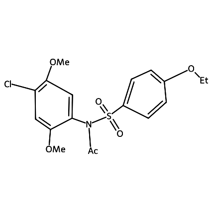 CCOc1ccc(S(=O)(=O)N(C(C)=O)c2cc(OC)c(Cl)cc2OC)cc1